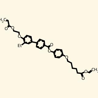 C=COC(=O)CCCCCOc1ccc(OC(=O)c2ccc(-c3ccc(OCCOC(=O)C=C)c(CC)c3)cc2)cc1